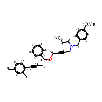 COc1ccc(CN(CC#CCO[C@H](CC#Cc2ccc(C)cc2C)c2ccccc2)CCC#N)cc1